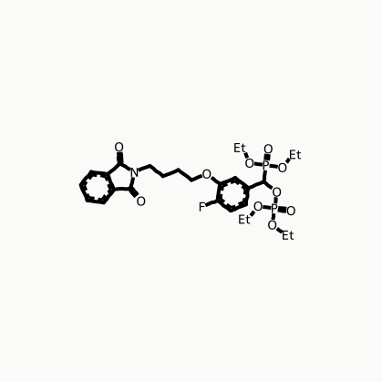 CCOP(=O)(OCC)OC(c1ccc(F)c(OCCCCN2C(=O)c3ccccc3C2=O)c1)P(=O)(OCC)OCC